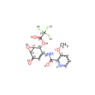 COc1cccnc1C(=O)NC1=CC(=O)C2OC2C1OC(=O)C(F)(F)F